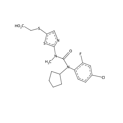 CN(C(=O)N(c1ccc(Cl)cc1F)C1CCCC1)c1ncc(SCC(=O)O)s1